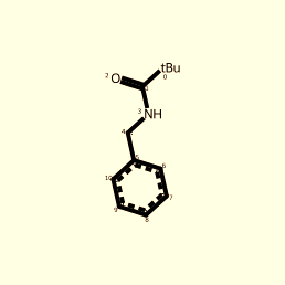 CC(C)(C)C(=O)N[C]c1ccccc1